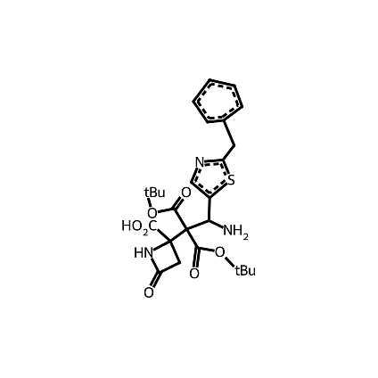 CC(C)(C)OC(=O)C(C(=O)OC(C)(C)C)(C(N)c1cnc(Cc2ccccc2)s1)C1(C(=O)O)CC(=O)N1